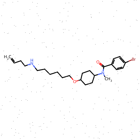 C=CCCNCCCCCCOC1CCC(N(C)C(=O)c2ccc(Br)cc2)CC1